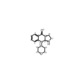 O=C1c2ccccc2N(N2CCOCC2)C2NCCN12